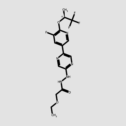 CCOCC(=O)NNc1cnc(-c2cnc(O[C@@H](C)C(F)(F)F)c(F)c2)cn1